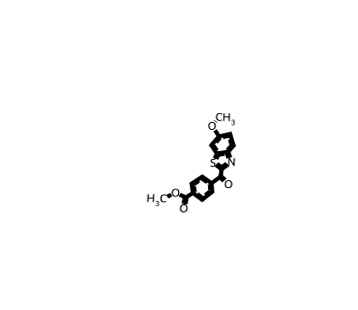 COC(=O)c1ccc(C(=O)c2nc3ccc(OC)cc3s2)cc1